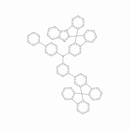 c1ccc(-c2ccc(N(c3cccc(-c4ccc5c(c4)C4(c6ccccc6-c6ccccc64)c4ccccc4-5)c3)c3ccc4c(c3)C3(c5ccccc5-4)c4ccccc4-n4c3nc3ccccc34)cc2)cc1